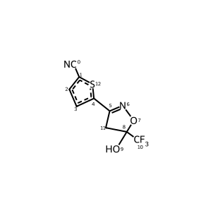 N#Cc1ccc(C2=NOC(O)(C(F)(F)F)C2)s1